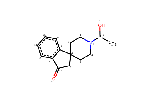 CB(O)N1CCC2(CC1)CC(=O)c1ccccc12